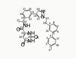 Cc1ccc(-c2cccc(CCn3cc(-c4cccc(C(C)NC(=O)c5cc(=O)[nH]c(=O)[nH]5)c4)cn3)c2)cc1